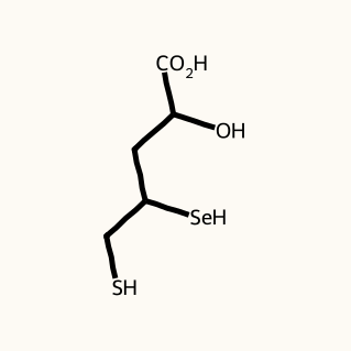 O=C(O)C(O)CC([SeH])CS